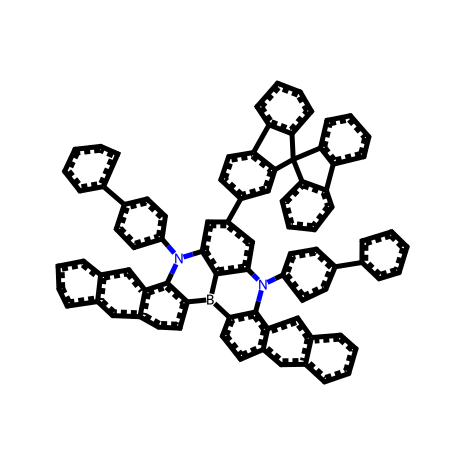 c1ccc(-c2ccc(N3c4cc(-c5ccc6c(c5)C5(c7ccccc7-c7ccccc75)c5ccccc5-6)cc5c4B(c4ccc6cc7ccccc7cc6c43)c3ccc4cc6ccccc6cc4c3N5c3ccc(-c4ccccc4)cc3)cc2)cc1